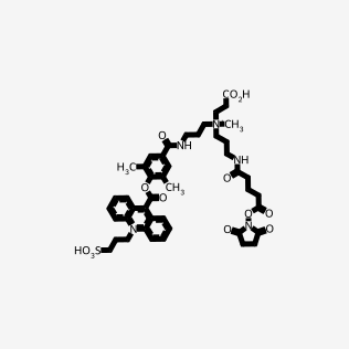 Cc1cc(C(=O)NCCC[N+](C)(CCCNC(=O)CCCC(=O)ON2C(=O)CCC2=O)CCC(=O)O)cc(C)c1OC(=O)c1c2ccccc2[n+](CCCS(=O)(=O)O)c2ccccc12